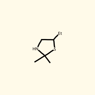 CCC1CNC(C)(C)S1